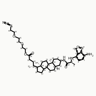 C[C@H](Nc1ccc(N)c2nonc12)C(=O)N[C@@H]1CC[C@]2(C)C3CC[C@@]4(C)C(CCC4[C@H](C)CCC(=O)OCCOCCOCCN=[N+]=[N-])C3CC[C@@H]2C1